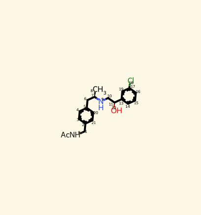 CC(=O)NCc1ccc(C[C@@H](C)NC[C@H](O)c2cccc(Cl)c2)cc1